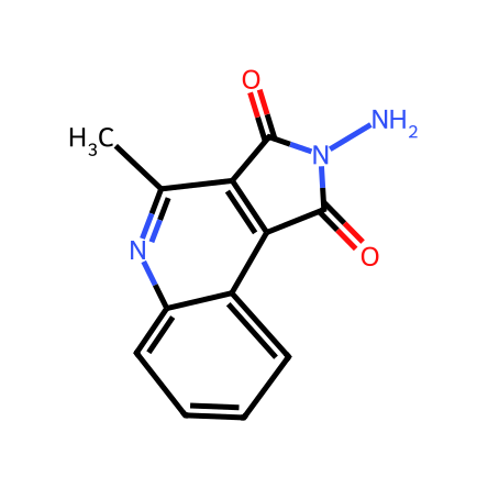 Cc1nc2ccccc2c2c1C(=O)N(N)C2=O